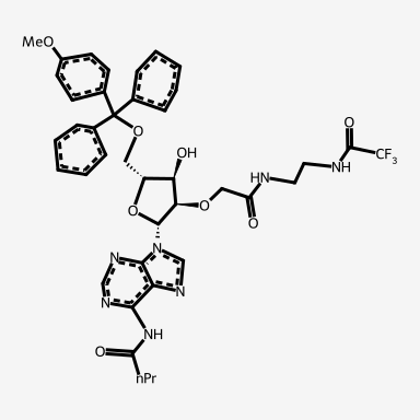 CCCC(=O)Nc1ncnc2c1ncn2[C@@H]1O[C@H](COC(c2ccccc2)(c2ccccc2)c2ccc(OC)cc2)[C@@H](O)[C@H]1OCC(=O)NCCNC(=O)C(F)(F)F